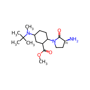 COC(=O)C1CC(N(C)C(C)(C)C)CCC1N1CC[C@H](N)C1=O